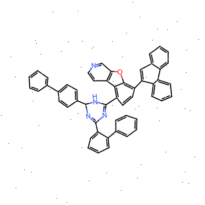 c1ccc(-c2ccc(C3N=C(c4ccccc4-c4ccccc4)N=C(c4ccc(-c5cc6ccccc6c6ccccc56)c5oc6cnccc6c45)N3)cc2)cc1